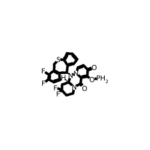 O=C1c2c(OP)c(=O)ccn2N([C@@H]2c3ccccc3SCc3c2ccc(F)c3F)[C@@H]2CC(F)(F)CCN12